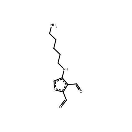 NCCCCCNc1csc(C=O)c1C=O